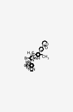 CCc1cc(Nc2ncc(Br)c(Nc3ccc4nccnc4c3P(C)(C)=O)n2)c(OC)cc1N1CCC(N2CCCCOC2=O)CC1